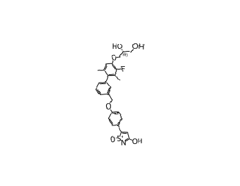 Cc1cc(OC[C@H](O)CO)c(F)c(C)c1-c1cccc(COc2ccc(-c3cc(O)n[s+]3[O-])cc2)c1